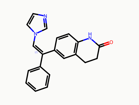 O=C1CCc2cc(/C(=C\n3ccnc3)c3ccccc3)ccc2N1